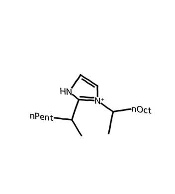 CCCCCCCCC(C)[n+]1cc[nH]c1C(C)CCCCC